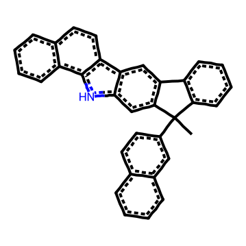 CC1(c2ccc3ccccc3c2)c2ccccc2-c2cc3c(cc21)[nH]c1c2ccccc2ccc31